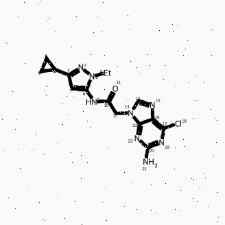 CCn1nc(C2CC2)cc1NC(=O)Cn1cnc2c(Cl)nc(N)nc21